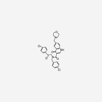 O=C(c1c[nH]c2ccc(CN3CCOCC3)cc2c1=O)N(Cc1ccc(Cl)cc1)C[S+]([O-])c1ccc(Cl)cc1